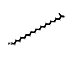 C=C(C)CCCCCCCCCCCCCCCCCCCS